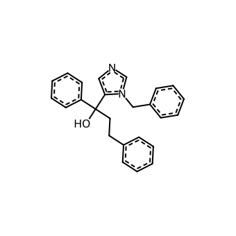 OC(CCc1ccccc1)(c1ccccc1)c1cncn1Cc1ccccc1